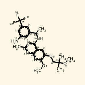 COc1nc2nc(C)nc(N[C@H](C)c3cc(N)cc(C(F)(F)F)c3)c2cc1OCC(C)(C)OC